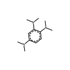 CN(C)c1[c]c(N(C)C)c(N(C)C)cc1